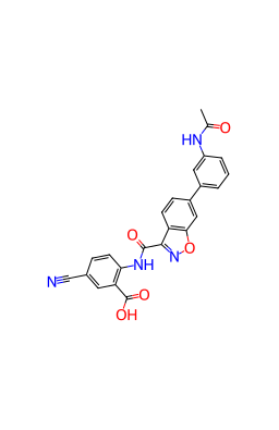 CC(=O)Nc1cccc(-c2ccc3c(C(=O)Nc4ccc(C#N)cc4C(=O)O)noc3c2)c1